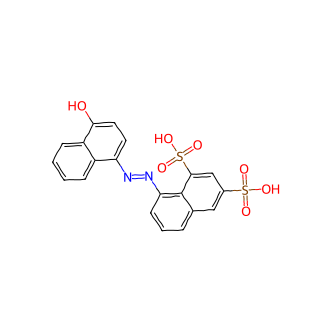 O=S(=O)(O)c1cc(S(=O)(=O)O)c2c(N=Nc3ccc(O)c4ccccc34)cccc2c1